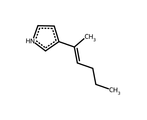 CCC/C=C(\C)c1cc[nH]c1